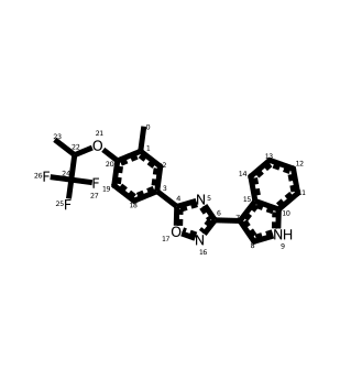 Cc1cc(-c2nc(-c3c[nH]c4ccccc34)no2)ccc1OC(C)C(F)(F)F